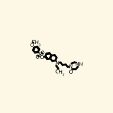 CCCN(CCCCN1CCNCCC1=O)C1CCc2ccc(OS(=O)(=O)c3ccc(OC)cc3)cc2C1